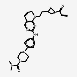 C=CC(=O)N1CC(CCN2CC=Cc3cnc(Nc4ccc(N5CCN(C(=O)N(C)C)CC5)cc4)nc32)C1